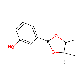 CC1OB(c2cccc(O)c2)OC1(C)C